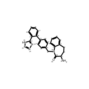 NC1CCc2ccccc2N(Cc2ccc(-c3ccccc3-c3nnn[nH]3)cc2)C1=O